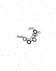 CNC1CCN(c2cccc(C3=CC=CC(c4nc5cc(C=O)cc(Cl)c5o4)C3(C)Cl)c2)CC1